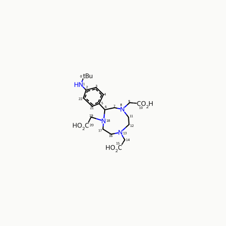 CC(C)(C)Nc1ccc(C2CN(CC(=O)O)CCN(CC(=O)O)CCN2CC(=O)O)cc1